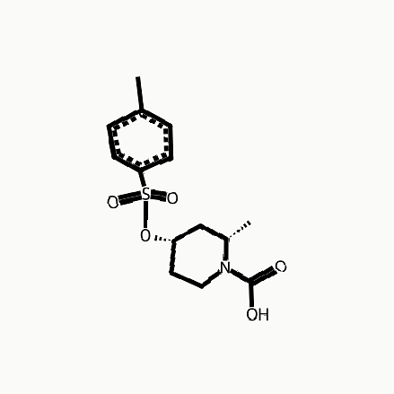 Cc1ccc(S(=O)(=O)O[C@H]2CCN(C(=O)O)[C@@H](C)C2)cc1